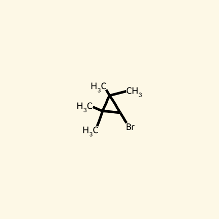 CC1(C)C(Br)C1(C)C